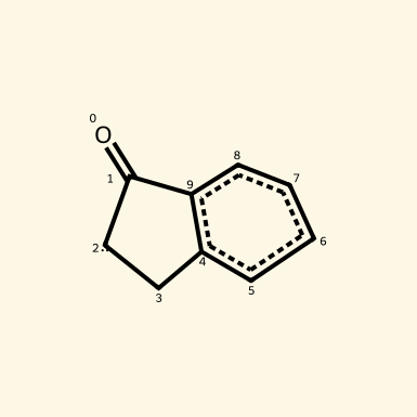 O=C1[C]Cc2ccccc21